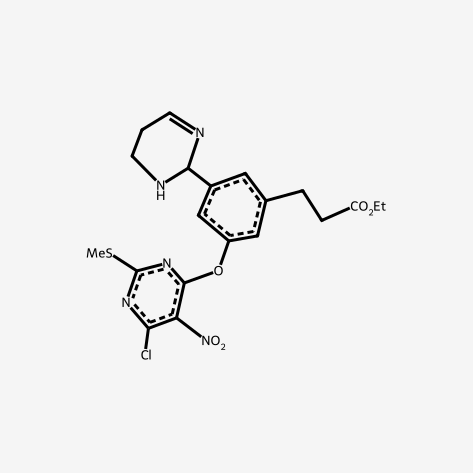 CCOC(=O)CCc1cc(Oc2nc(SC)nc(Cl)c2[N+](=O)[O-])cc(C2N=CCCN2)c1